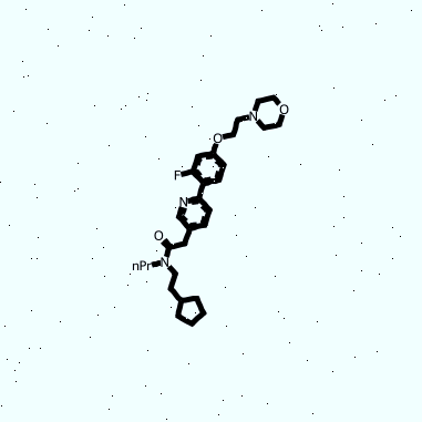 CCCN(CCC1CCCC1)C(=O)Cc1ccc(-c2ccc(OCCN3CCOCC3)cc2F)nc1